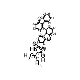 CC(C)[C@H](NS(=O)(=O)c1ccc2c(c1)oc1cccc(-c3cccc4oc5ccccc5c34)c12)C(=O)O